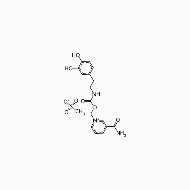 CS(=O)(=O)[O-].NC(=O)c1ccc[n+](COC(=O)NCCc2ccc(O)c(O)c2)c1